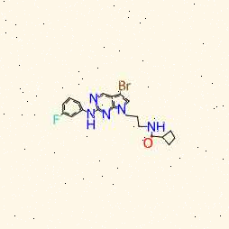 O=C(NCCCn1cc(Br)c2cnc(Nc3cccc(F)c3)nc21)C1CCC1